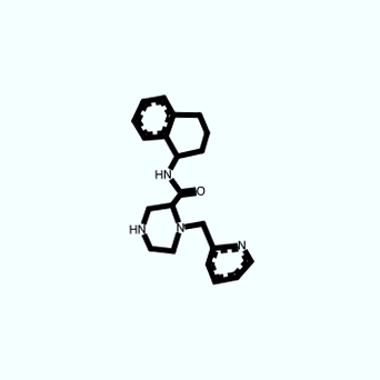 O=C(NC1CCCc2ccccc21)C1CNCCN1Cc1ccccn1